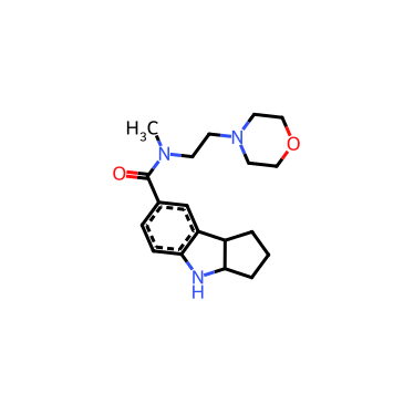 CN(CCN1CCOCC1)C(=O)c1ccc2c(c1)C1CCCC1N2